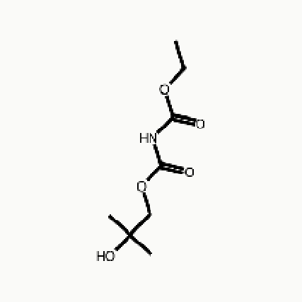 CCOC(=O)NC(=O)OCC(C)(C)O